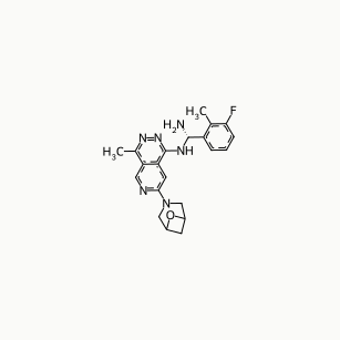 Cc1c(F)cccc1[C@@H](N)Nc1nnc(C)c2cnc(N3CC4CC(C3)O4)cc12